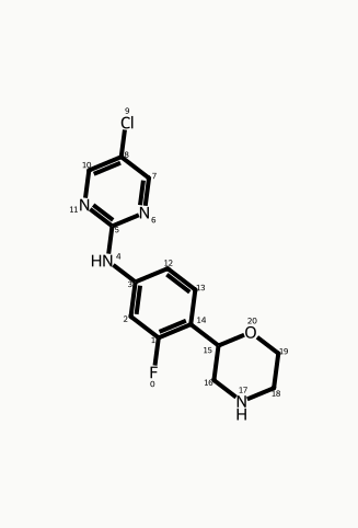 Fc1cc(Nc2ncc(Cl)cn2)ccc1C1CNCCO1